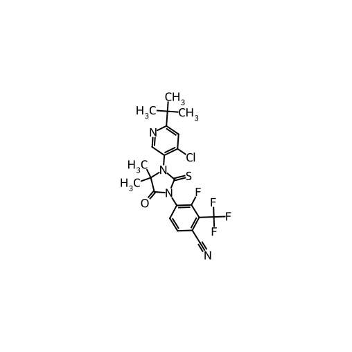 CC(C)(C)c1cc(Cl)c(N2C(=S)N(c3ccc(C#N)c(C(F)(F)F)c3F)C(=O)C2(C)C)cn1